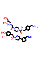 NCc1ccc(CNC(=O)N2CCN(C(=O)CNCC(O)CO)CC2)cc1.NCc1cccc(C2CCN(C(=O)Cc3ccc(O)c(O)c3)CC2)c1